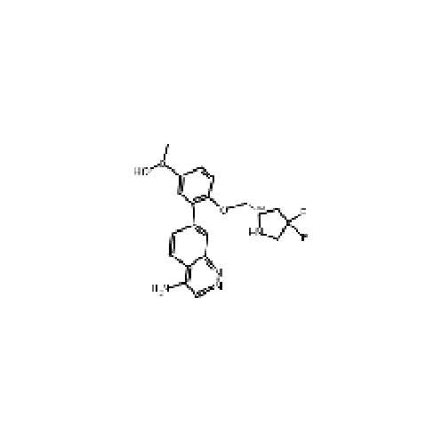 CB(O)c1ccc(OC[C@@H]2CC(F)(F)CN2)c(-c2ccc3c(N)cnnc3c2)c1